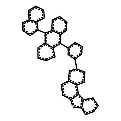 c1cc(-c2ccc3c(ccc4oc5ccccc5c43)c2)cc(-c2c3ccccc3c(-c3cccc4ccccc34)c3ccccc23)c1